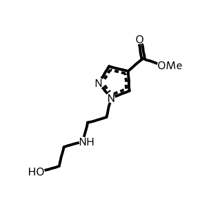 COC(=O)c1cnn(CCNCCO)c1